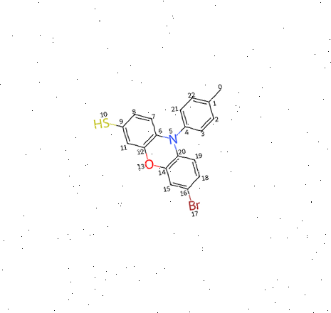 Cc1ccc(N2c3ccc(S)cc3Oc3cc(Br)ccc32)cc1